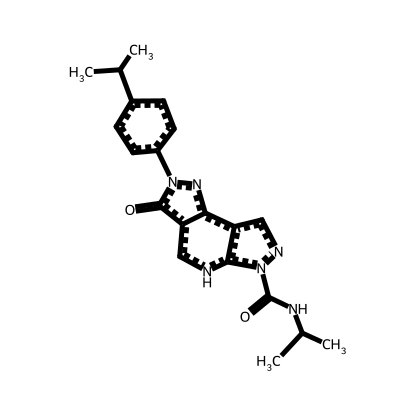 CC(C)NC(=O)n1ncc2c3nn(-c4ccc(C(C)C)cc4)c(=O)c-3c[nH]c21